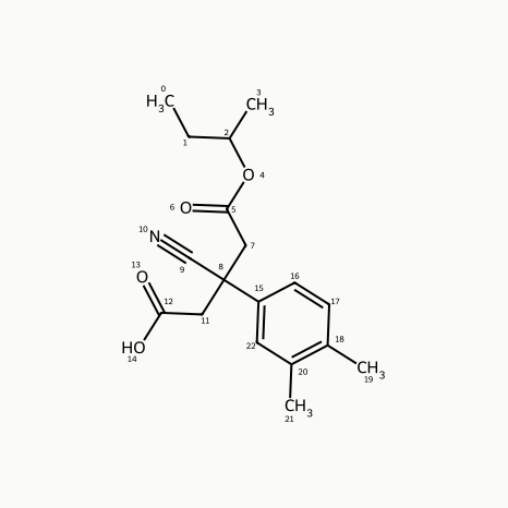 CCC(C)OC(=O)CC(C#N)(CC(=O)O)c1ccc(C)c(C)c1